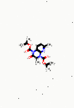 C=C(C)OC(=O)N1C(=O)[C@H](C)N(C(=O)OC(=C)C)c2nc(C)ccc21